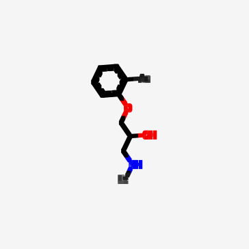 CCNCC(O)COc1ccccc1C(C)=O